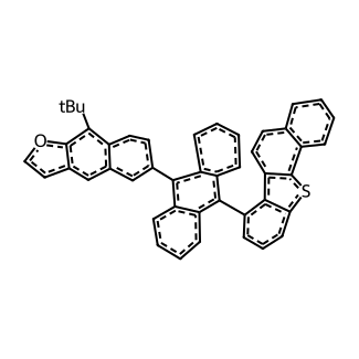 CC(C)(C)c1c2ccc(-c3c4ccccc4c(-c4cccc5sc6c7ccccc7ccc6c45)c4ccccc34)cc2cc2ccoc12